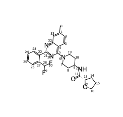 Cc1ccc2c(N3CCC(NC(=O)[C@@H]4CCCO4)CC3)nc(-c3ccccc3C(F)F)nc2c1